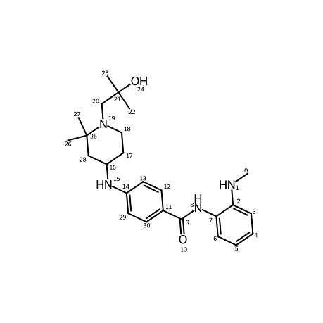 CNc1ccccc1NC(=O)c1ccc(NC2CCN(CC(C)(C)O)C(C)(C)C2)cc1